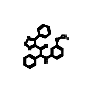 COc1cccc(NC(C(=O)c2nsnc2-c2ccccc2)c2ccccc2)c1